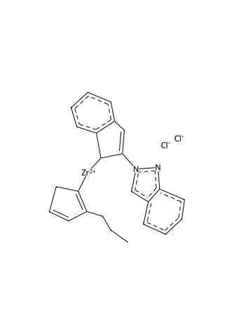 CCCC1=[C]([Zr+2][CH]2C(n3cc4ccccc4n3)=Cc3ccccc32)CC=C1.[Cl-].[Cl-]